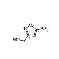 N#CCc1cc(C(F)(F)F)on1